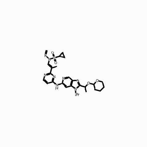 C=NN(/C=C(\C)c1nccc(Nc2cc3c(cn2)nc(C(C)OC2CCCCO2)n3C(C)C)n1)S(=O)(=O)C1CC1